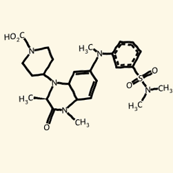 C[C@@H]1C(=O)N(C)C2C=CC(N(C)c3cccc(S(=O)(=O)N(C)C)c3)=CC2N1C1CCN(C(=O)O)CC1